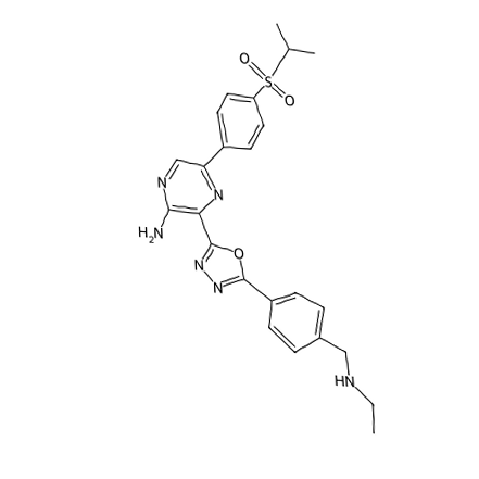 CCNCc1ccc(-c2nnc(-c3nc(-c4ccc(S(=O)(=O)C(C)C)cc4)cnc3N)o2)cc1